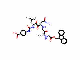 CC(C)C[C@H](NC(=O)Nc1ccc(C(=O)O)cc1)C(=O)C(=O)[C@H](CC(N)=O)NCC(=O)[C@H](C)NCC(=O)OCC1c2ccccc2-c2ccccc21